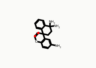 Nc1ccc2c(c1)C1(CCC(N)(N)c3ccccc31)c1ccccc1O2